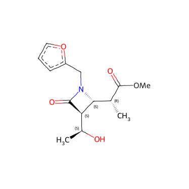 COC(=O)[C@H](C)[C@@H]1[C@@H]([C@H](C)O)C(=O)N1Cc1ccco1